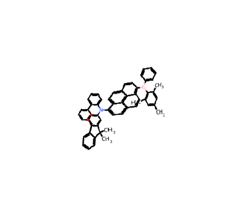 Cc1cc(C)c(B(c2ccccc2)c2ccc3ccc4c(N(c5ccc6c(c5)C(C)(C)c5ccccc5-6)c5ccccc5-c5ccccc5)ccc5ccc2c3c54)c(C)c1